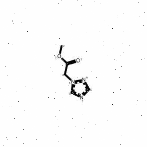 COC(=O)Cn1cncn1